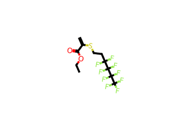 C=C(SCCC(F)(F)C(F)(F)C(F)(F)C(F)(F)F)C(=O)OCC